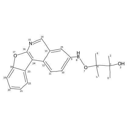 CC(C)(O)C(C)(C)OBc1ccc2c(cnc3oc4ccccc4c32)c1